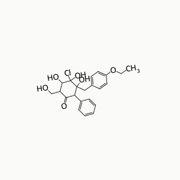 CCOc1ccc(CC2(O)C(c3ccccc3)C(=O)C(CO)C(O)C2(O)Cl)cc1